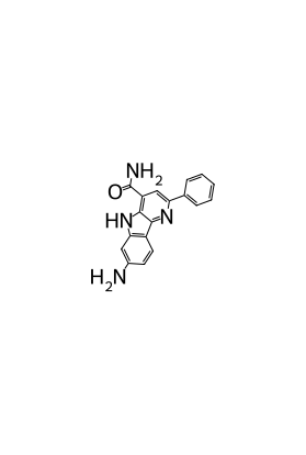 NC(=O)c1cc(-c2ccccc2)nc2c1[nH]c1cc(N)ccc12